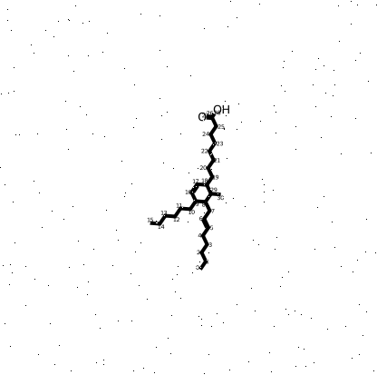 CCCCCC=CCC1C(CCCCCC)C=CC(CCCCCCCC(=O)O)C1C